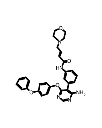 Nc1ncnc(Oc2ccc(Oc3ccccc3)cc2)c1-c1cccc(NC(=O)C=CCN2CCOCC2)c1